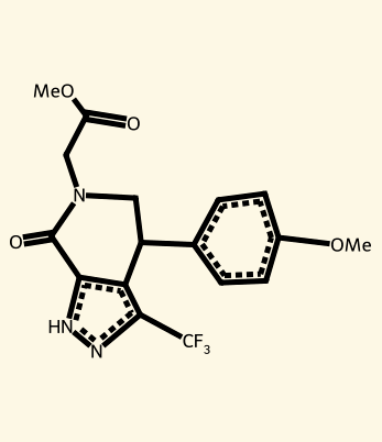 COC(=O)CN1CC(c2ccc(OC)cc2)c2c(C(F)(F)F)n[nH]c2C1=O